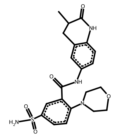 CC1Cc2cc(NC(=O)c3cc(S(N)(=O)=O)ccc3N3CCOCC3)ccc2NC1=O